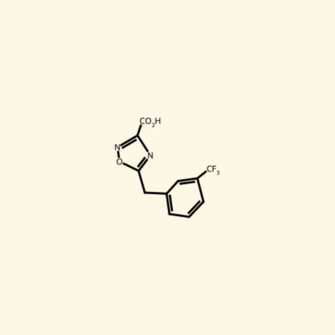 O=C(O)c1noc(Cc2cccc(C(F)(F)F)c2)n1